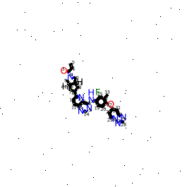 C=CC(=O)N1C[C@H]2CC(c3ccc4ncnc(Nc5ccc(Oc6ccn7ncnc7c6)c(C)c5F)c4n3)C[C@H]2C1